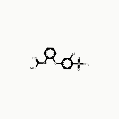 CSC(=N)Nc1ccccc1Oc1ccc(S(N)(=O)=O)c(Cl)c1